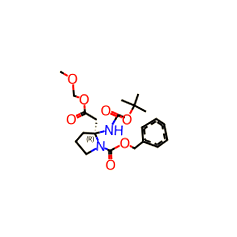 COCOC(=O)C[C@@]1(NC(=O)OC(C)(C)C)CCCN1C(=O)OCc1ccccc1